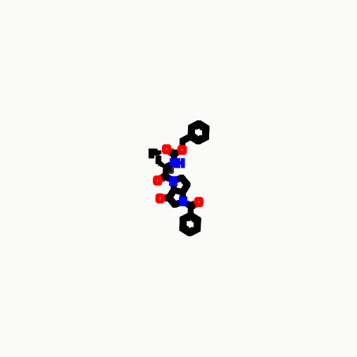 CC(C)C[C@H](NC(=O)OCc1ccccc1)C(=O)N1CCC2C1C(=O)CN2C(=O)c1ccccc1